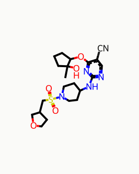 CC1(O)CCCC1Oc1nc(NC2CCN(S(=O)(=O)CC3CCOC3)CC2)ncc1C#N